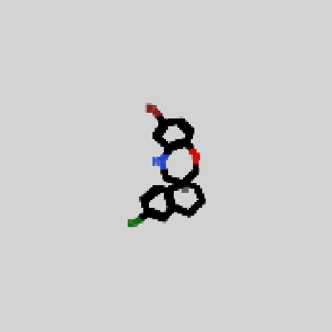 Clc1ccc2c(c1)CCC[C@@]21CNc2cc(Br)ccc2OC1